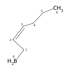 BC/C=C\CCC